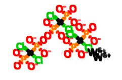 O=P([O-])([O-])C(Cl)(Cl)P(=O)([O-])[O-].O=P([O-])([O-])C(Cl)(Cl)P(=O)([O-])[O-].O=P([O-])([O-])C(Cl)(Cl)P(=O)([O-])[O-].[W+6].[W+6]